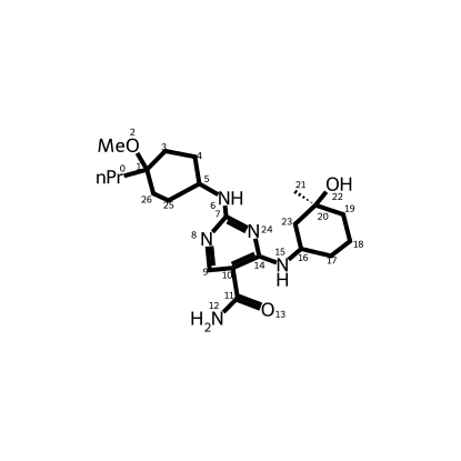 CCCC1(OC)CCC(Nc2ncc(C(N)=O)c(NC3CCC[C@](C)(O)C3)n2)CC1